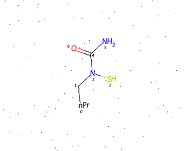 CCCCN(S)C(N)=O